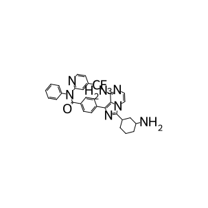 Nc1nccn2c(C3CCCC(N)C3)nc(-c3ccc(C(=O)N(c4ccccc4)c4cc(C(F)(F)F)ccn4)cc3)c12